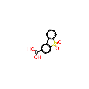 O=S1(=O)c2ccccc2-c2cc(B(O)O)ccc21